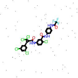 O=C(Nc1ccc(NC(=O)C(F)(F)F)cc1)c1cc(NC(=O)C2C(c3cc(Cl)cc(Cl)c3)C2(Cl)Cl)ccc1Cl